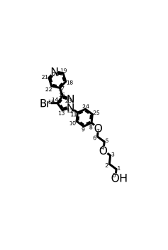 OCCCOCCOc1ccc(-n2cc(Br)c(-c3ccncc3)n2)cc1